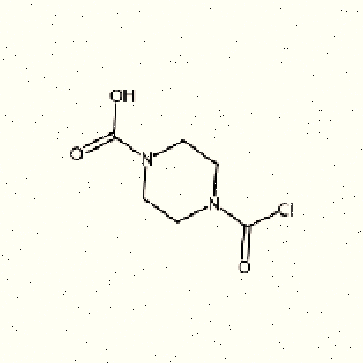 O=C(O)N1CCN(C(=O)Cl)CC1